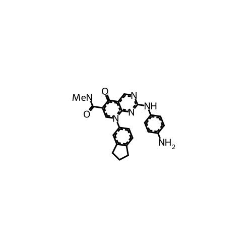 CNC(=O)c1cn(-c2ccc3c(c2)CCC3)c2nc(Nc3ccc(N)cc3)ncc2c1=O